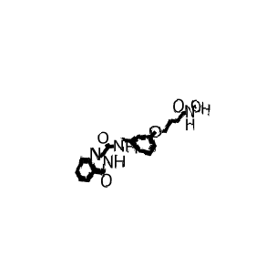 O=C(CCCOc1cccc(CNC(=O)c2nc3ccccc3c(=O)[nH]2)c1)NO